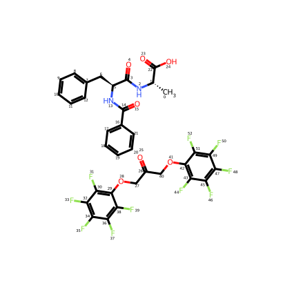 C[C@H](NC(=O)[C@H](Cc1ccccc1)NC(=O)c1ccccc1)C(=O)O.O=C(COc1c(F)c(F)c(F)c(F)c1F)COc1c(F)c(F)c(F)c(F)c1F